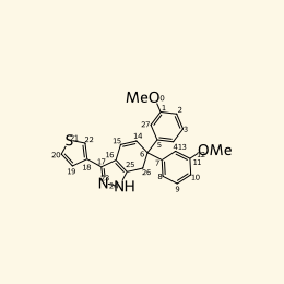 COc1cccc(C2(c3cccc(OC)c3)C=Cc3c(-c4ccsc4)n[nH]c3C2)c1